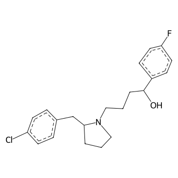 OC(CCCN1CCCC1Cc1ccc(Cl)cc1)c1ccc(F)cc1